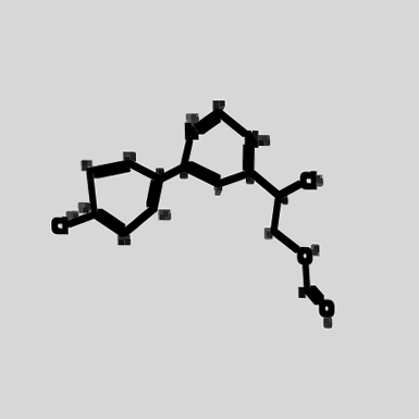 O=COCC(Cl)c1cc(-c2ccc(Cl)cc2)ncn1